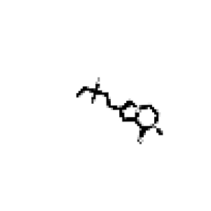 CCC(F)(F)CCc1cc2n(c1)CCN(C)C2=O